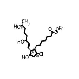 CCCOC(=O)CCCCCC[C@@H]1[C@H](C=C[C@@H](O)CCC[C@@H](C)O)[C@H](O)C[C@@H]1Cl